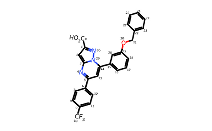 O=C(O)c1cc2nc(-c3ccc(C(F)(F)F)cc3)cc(-c3cccc(OCc4ccccc4)c3)n2n1